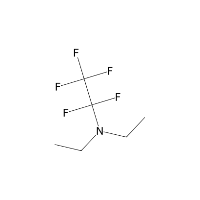 CCN(CC)C(F)(F)C(F)(F)F